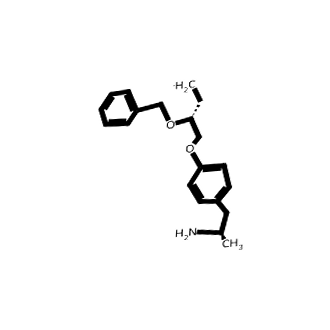 [CH2]C[C@H](COc1ccc(C[C@@H](C)N)cc1)OCc1ccccc1